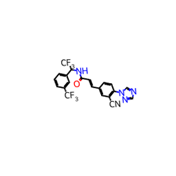 N#Cc1cc(/C=C/C(=O)NC(c2cccc(C(F)(F)F)c2)C(F)(F)F)ccc1-n1cncn1